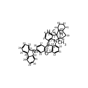 CC12c3cccc4c3N(c3cccc5c3B4c3ccc(-n4c6ccccc6c6ccccc64)cc3O5)C1(C)CCC1CCCC[C@H]12